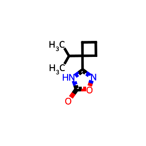 CC(C)C1(c2noc(=O)[nH]2)CCC1